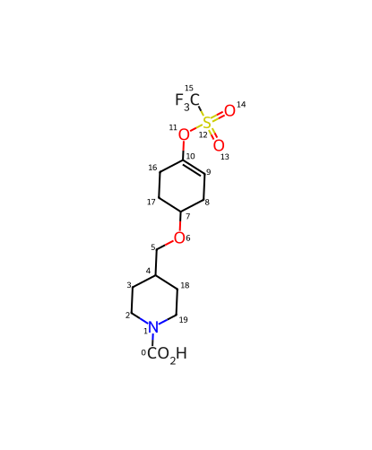 O=C(O)N1CCC(COC2CC=C(OS(=O)(=O)C(F)(F)F)CC2)CC1